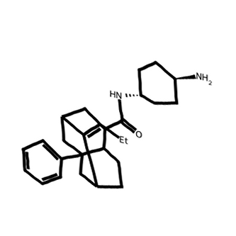 CC/C=C1\C2CCC3C(C(=O)N[C@H]4CC[C@H](N)CC4)CC1CC3(c1ccccc1)C2